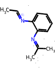 C/C=N/c1ccccc1N=C(C)C